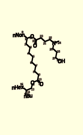 CCCCCCCCCC(CCCCCCCCC(=O)OCC(CCCC)CCCCCC)OC(=O)CCCN(C)CCCO